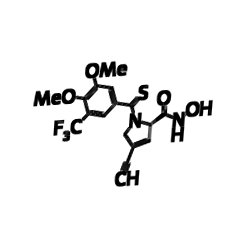 C#CC1=C[C@H](C(=O)NO)N(C(=S)c2cc(OC)c(OC)c(C(F)(F)F)c2)C1